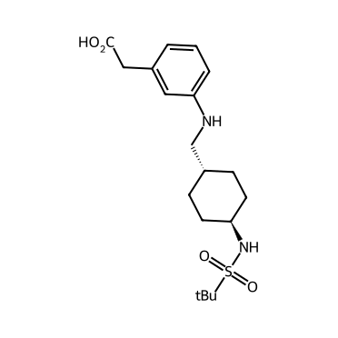 CC(C)(C)S(=O)(=O)N[C@H]1CC[C@H](CNc2cccc(CC(=O)O)c2)CC1